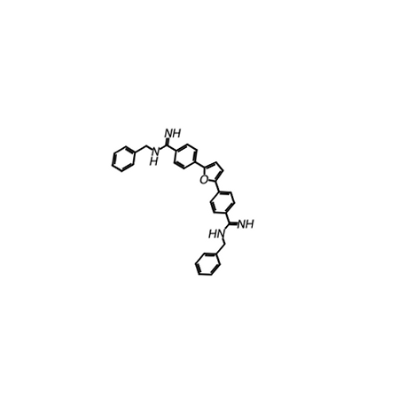 N=C(NCc1ccccc1)c1ccc(-c2ccc(-c3ccc(C(=N)NCc4ccccc4)cc3)o2)cc1